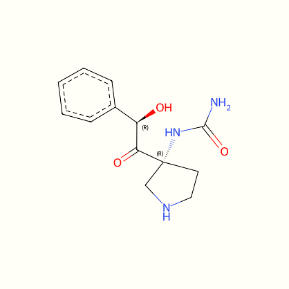 NC(=O)N[C@]1(C(=O)[C@H](O)c2ccccc2)CCNC1